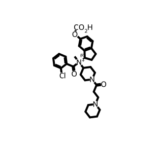 C[N+](C(=O)c1ccccc1Cl)(C1CCN(C(=O)CCN2CCCCC2)CC1)[C@@H]1CCc2ccc(OC(=O)O)cc21